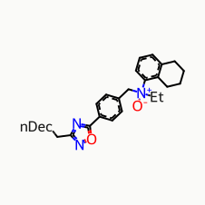 CCCCCCCCCCCc1noc(-c2ccc(C[N+]([O-])(CC)c3cccc4c3CCCC4)cc2)n1